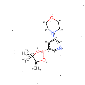 C=C1OB(c2cncc(N3CCOCC3)c2)OC1(C)C